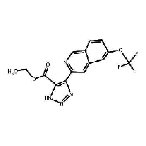 CCOC(=O)c1[nH]nnc1-c1cc2cc(OC(F)(F)F)ccc2cn1